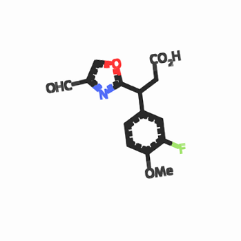 COc1ccc(C(CC(=O)O)c2nc(C=O)co2)cc1F